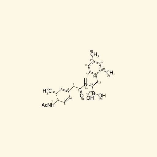 C=C/C=C(\C=C/CNC(C)=O)CC(=O)N[C@@H](Cc1ccc(C)cc1C)B(O)O